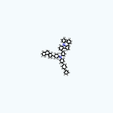 c1ccc(-c2ccc(-c3ccc(N(c4ccc(-c5ccc6c(ccc7ccccc76)c5)cc4)c4cccc(-c5cccc6c5c5cccc(-c7ccccc7)c5n6-c5ccccc5)c4)cc3)cc2)cc1